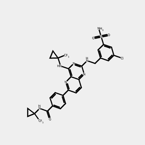 NS(=O)(=O)c1cc(Cl)cc(CNc2nc(NC3(C(F)(F)F)CC3)c3nc(-c4ccc(C(=O)NC5(C(F)(F)F)CC5)cc4)ccc3n2)c1